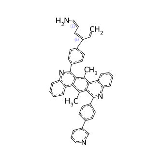 C=C/C(=C\C=C/N)c1ccc(-c2nc3ccccc3c3c(C)c4c(-c5ccc(-c6cccnc6)cc5)nc5ccccc5c4c(C)c23)cc1